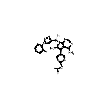 CC[C@@H](c1cn(-c2ccccc2F)nn1)n1c(C#N)c(-c2cnc(OC(F)F)nc2)c2c(N)ncnc21